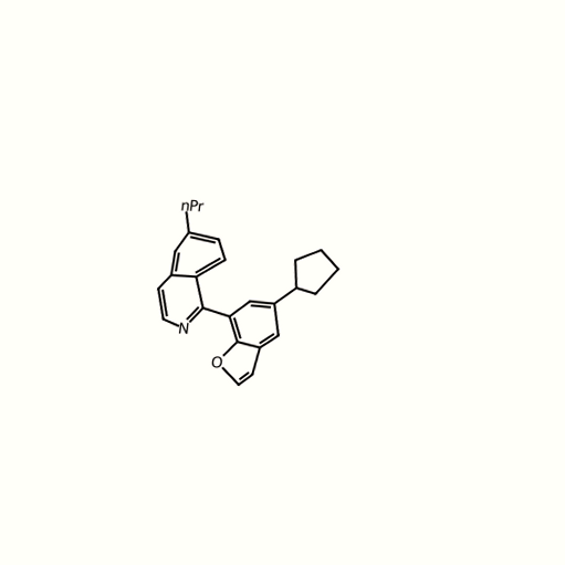 CCCc1ccc2c(-c3cc(C4CCCC4)cc4ccoc34)nccc2c1